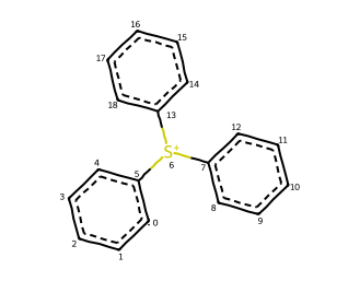 [c]1ccccc1[S+](c1ccccc1)c1ccccc1